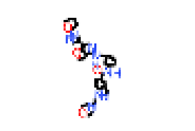 O=C(Nc1cccc(CNc2ncc(-c3cnn(C4CCCCO4)c3)c3c2CCO3)c1)c1ccc2c(cnn2CCN2CCOCC2)c1